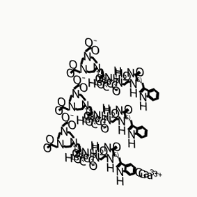 NC(=O)[C@H](Cc1c[nH]c2ccccc12)NC(=O)CN[13C](=O)[13CH]([13CH2]O)[15NH]C(=O)CN1CCN(CC(=O)[O-])CCN(CC(=O)[O-])CC1.NC(=O)[C@H](Cc1c[nH]c2ccccc12)NC(=O)CN[13C](=O)[13CH]([13CH2]O)[15NH]C(=O)CN1CCN(CC(=O)[O-])CCN(CC(=O)[O-])CC1.NC(=O)[C@H](Cc1c[nH]c2ccccc12)NC(=O)CN[13C](=O)[13CH]([13CH2]O)[15NH]C(=O)CN1CCN(CC(=O)[O-])CCN(CC(=O)[O-])CC1.[Ga+3].[Ga+3]